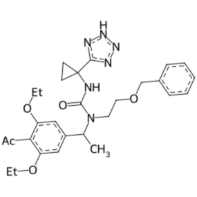 CCOc1cc(C(C)N(CCOCc2ccccc2)C(=O)NC2(c3nn[nH]n3)CC2)cc(OCC)c1C(C)=O